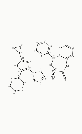 O=C1Nc2ccccc2N(c2ccccc2)C[C@@H]1Nc1nnc(-c2nc(C3CC3)sc2N2CCOCC2)o1